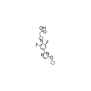 O=C(O)CC1CN(c2c(F)cc(-c3nccc(OC4CCC4)n3)cc2F)C1